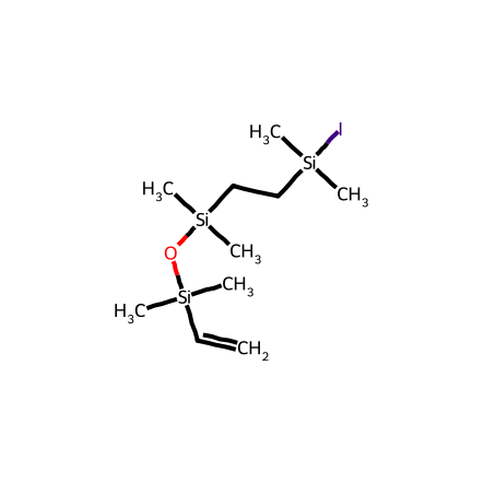 C=C[Si](C)(C)O[Si](C)(C)CC[Si](C)(C)I